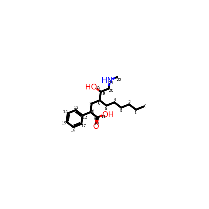 CCCCCCC(CC(C(=O)O)c1ccccc1)C(O)CNC